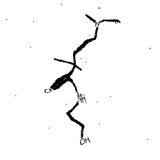 CN(C)CCC(C)(C)C(=O)NCCO